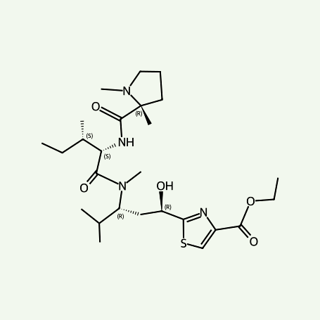 CCOC(=O)c1csc([C@H](O)C[C@H](C(C)C)N(C)C(=O)[C@@H](NC(=O)[C@@]2(C)CCCN2C)[C@@H](C)CC)n1